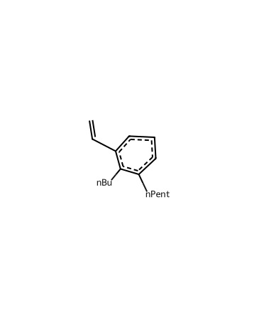 C=Cc1cccc(CCCCC)c1CCCC